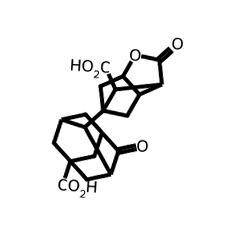 O=C1C2CC3CC(C(=O)O)(C2)CC1C3C12CC3OC(=O)C(C3C1)C2C(=O)O